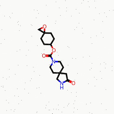 O=C1CC2(CCN(C(=O)OC3CCC4(CC3)CO4)CC2)CN1